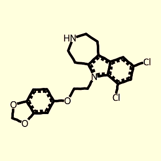 Clc1cc(Cl)c2c(c1)c1c(n2CCOc2ccc3c(c2)OCO3)CCNCC1